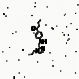 CCCC(=O)c1ccc(NCc2nccn2CCC)cc1